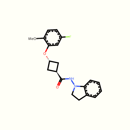 COc1ccc(F)cc1O[C@H]1C[C@H](C(=O)NN2CCc3ccccc32)C1